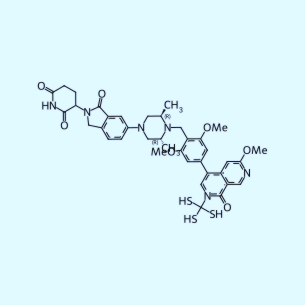 COc1cc2c(-c3cc(OC)c(CN4[C@H](C)CN(c5ccc6c(c5)C(=O)N(C5CCC(=O)NC5=O)C6)C[C@H]4C)c(OC)c3)cn(C(S)(S)S)c(=O)c2cn1